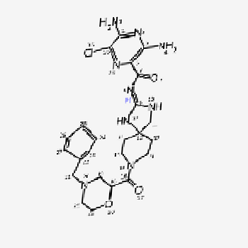 Nc1nc(N)c(C(=O)/N=C2\NCC3(CCN(C(=O)C4CN(Cc5ccccc5)CCO4)CC3)N2)nc1Cl